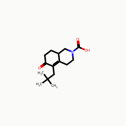 CC(C)(C)CC1=C2CCN(C(=O)O)CC2CCC1=O